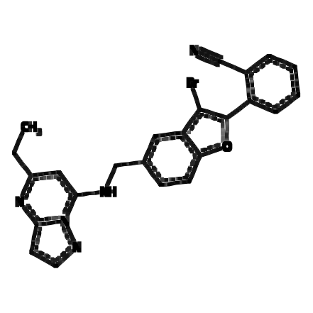 CCc1cc(NCc2ccc3oc(-c4ccccc4C#N)c(Br)c3c2)n2nccc2n1